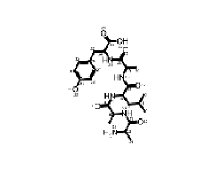 CC(C)CC(NC(=O)C(C)NC(=O)C(C)N)C(=O)NC(C)C(=O)NC(Cc1ccc(O)cc1)C(=O)O